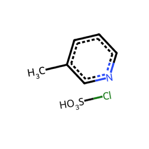 Cc1cccnc1.O=S(=O)(O)Cl